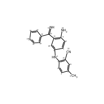 Cc1ccc(Nc2ccc(N)c(C(=N)c3ccncc3)c2)c(C#N)c1